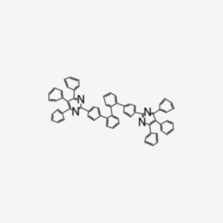 c1ccc(-c2nc(-c3ccc(-c4ccccc4-c4ccccc4-c4ccc(-c5nc(-c6ccccc6)c(-c6ccccc6)c(-c6ccccc6)n5)cc4)cc3)nc(-c3ccccc3)c2-c2ccccc2)cc1